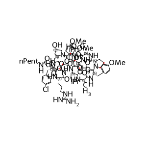 CCCCCNC(=O)CNC(=O)C1CCCN1C(=O)[C@H](CCCNC(=N)N)NC(=O)[C@H](Cc1ccc(Cl)cc1)NC(=O)[C@@H]1C[C@H](O)CN1C(=O)[C@@H](NC(=O)[C@H](C)NC(=O)[C@H](CC(=O)O)NC(=O)[C@@H]1CCCN1C(=O)[C@H](Cc1ccc(OC)cc1)NC(=O)[C@H](C)NC(=O)[C@H](CC(C)C)NC(=O)c1cc2ccc(OC)c(OC)c2o1)C(C)C